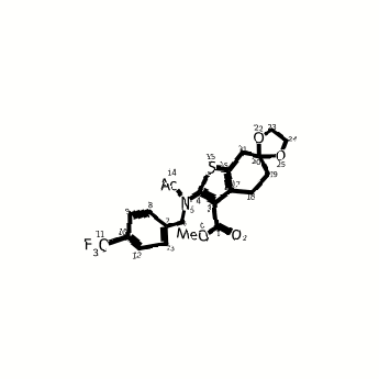 COC(=O)c1c(N(Cc2ccc(C(F)(F)F)cc2)C(C)=O)sc2c1CCC1(C2)OCCO1